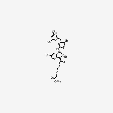 CC[C@@H]1C[C@H](Nc2ncc(Br)c(Cc3cc(C(F)(F)F)cc(C(F)(F)F)c3)n2)c2cc(C(F)(F)F)ccc2N1C(=O)OCCCCCC(=O)OC